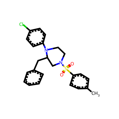 Cc1ccc(S(=O)(=O)N2CCN(c3ccc(Cl)cc3)C(Cc3ccccc3)C2)cc1